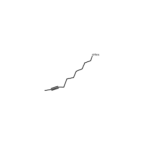 [CH2]CCCCCCCCCCCCC#CC